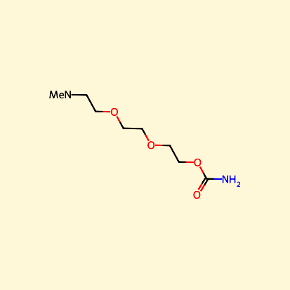 CNCCOCCOCCOC(N)=O